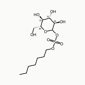 CCCCCCCOS(=O)(=O)OC1O[C@H](CO)[C@@H](O)[C@H](O)[C@H]1O